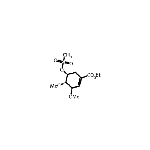 CCOC(=O)C1=C[C@@H](OC)[C@@H](OC)[C@@H](OS(C)(=O)=O)C1